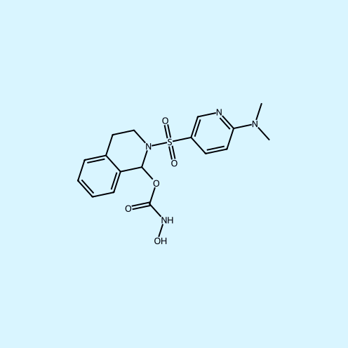 CN(C)c1ccc(S(=O)(=O)N2CCc3ccccc3C2OC(=O)NO)cn1